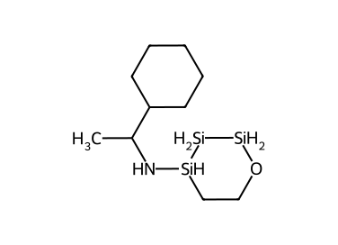 CC(N[SiH]1CCO[SiH2][SiH2]1)C1CCCCC1